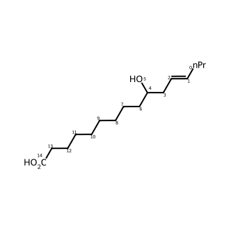 CCCC=CCC(O)CCCCCCCCC(=O)O